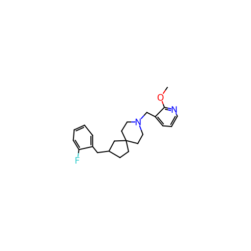 COc1ncccc1CN1CCC2(CCC(Cc3ccccc3F)C2)CC1